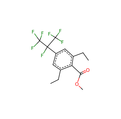 CCc1cc(C(F)(C(F)(F)F)C(F)(F)F)cc(CC)c1C(=O)OC